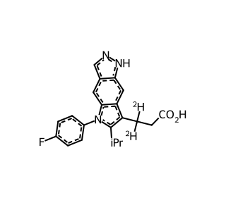 [2H]C([2H])(CC(=O)O)c1c(C(C)C)n(-c2ccc(F)cc2)c2cc3cn[nH]c3cc12